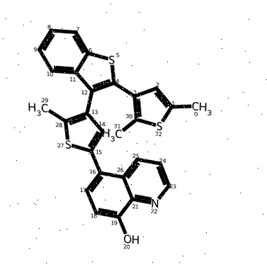 Cc1cc(-c2sc3ccccc3c2-c2cc(-c3ccc(O)c4ncccc34)sc2C)c(C)s1